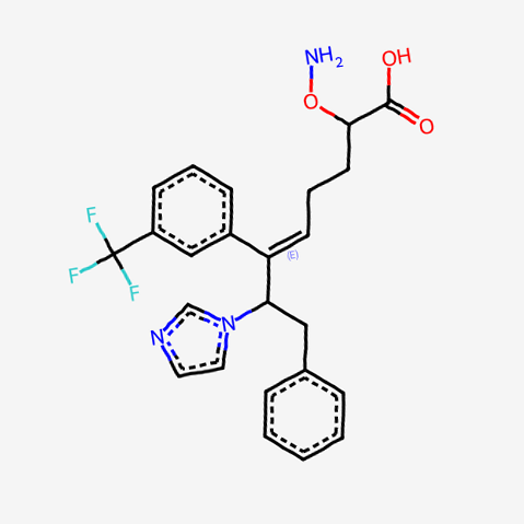 NOC(CC/C=C(\c1cccc(C(F)(F)F)c1)C(Cc1ccccc1)n1ccnc1)C(=O)O